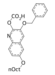 CCCCCCCCOc1ccc2nc(OC(=O)O)c(OCc3ccccc3)cc2c1